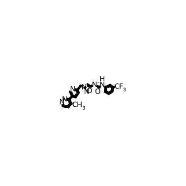 Cc1ccnnc1-c1ccc(C[n+]2cc([N-]C(=O)Nc3cccc(C(F)(F)F)c3)on2)nc1